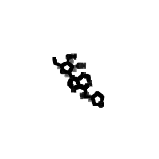 CC[C@@H]1O[C@H](n2cnc3c(N[C@@H]4CCOC4)ncnc32)[C@@H](O)[C@H]1O